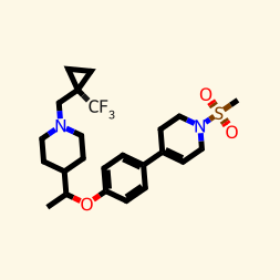 CC(Oc1ccc(C2=CCN(S(C)(=O)=O)CC2)cc1)C1CCN(CC2(C(F)(F)F)CC2)CC1